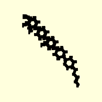 C/C=C/CCC1CCC(C2CC=C(c3ccc(-c4ccc(-c5ccc(CC)c(F)c5F)cc4)c(F)c3)CC2)CC1